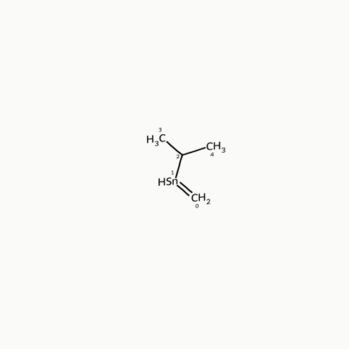 [CH2]=[SnH][CH](C)C